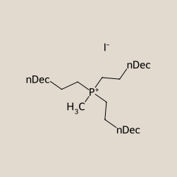 CCCCCCCCCCCC[P+](C)(CCCCCCCCCCCC)CCCCCCCCCCCC.[I-]